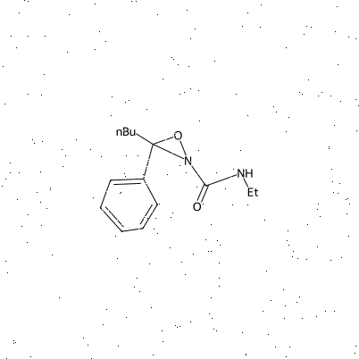 CCCCC1(c2ccccc2)ON1C(=O)NCC